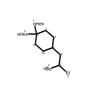 CCCCCCC1(CCCCCC)CCC(CC(CC)CCCC)CC1